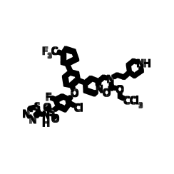 O=C(OCC(Cl)(Cl)Cl)N(CCC1CCNCC1)Cc1cc(-c2cc(-c3cccc(C(F)(F)F)c3)ccc2Oc2cc(F)c(S(=O)(=O)Nc3nncs3)cc2Cl)ccn1